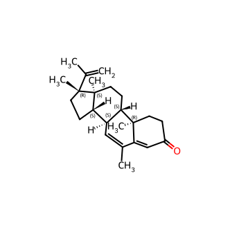 C=C(C)[C@@]1(C)CC[C@H]2[C@@H]3C=C(C)C4=CC(=O)CC[C@]4(C)[C@H]3CC[C@@]21C